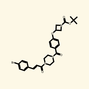 CC(C)(C)OC(=O)N1CC(Oc2ccc(C(=O)N3CCN(C(=O)C=Cc4ccc(Br)cc4)CC3)cc2)C1